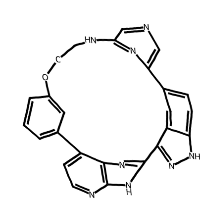 c1cc2cc(c1)-c1ccnc3[nH]c(nc13)-c1n[nH]c3ccc(cc13)-c1cncc(n1)NCCO2